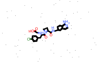 Nc1nccc2cc(CNC(=O)C3CCN3C(=O)C(Cc3ccc(Cl)cc3)NCC(=O)O)ccc12